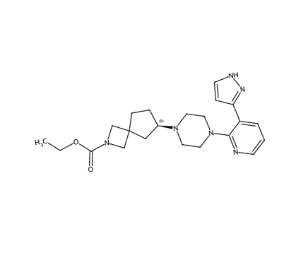 CCOC(=O)N1CC2(CC[C@@H](N3CCN(c4ncccc4-c4cc[nH]n4)CC3)C2)C1